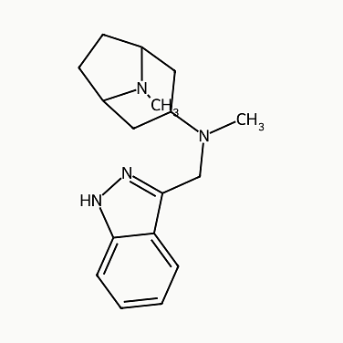 CN(Cc1n[nH]c2ccccc12)C1CC2CCC(C1)N2C